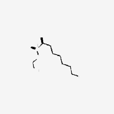 CCCCCCCC(=O)[PH](=O)OCC